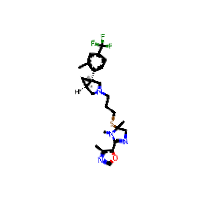 Cc1cc(C(F)(F)F)ccc1[C@@]12C[C@@H]1CN(CCCSC1(C)CN=C(c3ocnc3C)N1C)C2